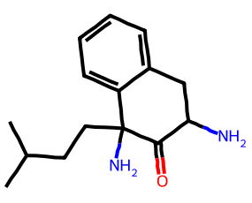 CC(C)CCC1(N)C(=O)C(N)Cc2ccccc21